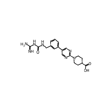 N=C(N)NC(=O)NCc1cccc(-c2cnc(N3CCC(C(=O)O)CC3)nc2)c1